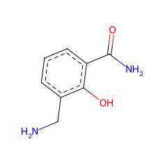 NCc1cccc(C(N)=O)c1O